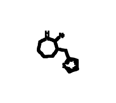 [N]C1NCCCCC1Cc1cccs1